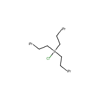 CC(C)CC[Si](Cl)(CCC(C)C)CCC(C)C